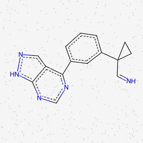 N=CC1(c2cccc(-c3ncnc4[nH]ncc34)c2)CC1